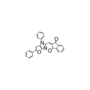 O=C1C(=Cc2nc3oc(-c4ccccc4)cc3n2-c2ccccc2)C(=O)c2ccccc21